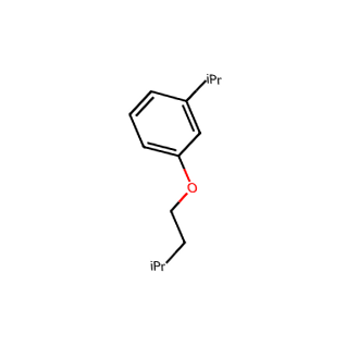 CC(C)CCOc1cccc(C(C)C)c1